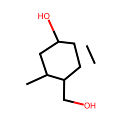 CC.CC1CC(O)CCC1CO